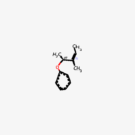 C/C=C(/C)[C@H](C)Oc1ccccc1